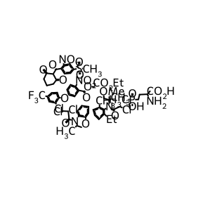 CC1COc2ccccc2N1C(=O)C(Cl)Cl.CCOC(=O)COC(=O)c1cc(Oc2ccc(C(F)(F)F)cc2Cl)ccc1[N+](=O)[O-].CCc1cccc(C)c1N(C(=O)CCl)C(C)COC.CP(=O)(O)CCC(N)C(=O)O.CS(=O)(=O)c1ccc(C(=O)C2C(=O)CCCC2=O)c([N+](=O)[O-])c1